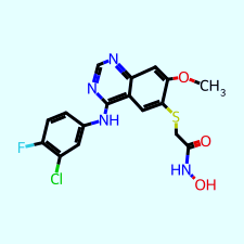 COc1cc2ncnc(Nc3ccc(F)c(Cl)c3)c2cc1SCC(=O)NO